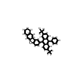 CC(C)(C)c1ccc2c(-c3ccc4oc5cc6c(cc5c4c3)CCC=C6)c3cc(C(C)(C)C)ccc3c(-c3ccccc3)c2c1